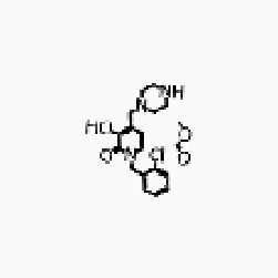 COC=O.O=c1c(O)c(CN2CCNCC2)ccn1Cc1ccccc1Cl